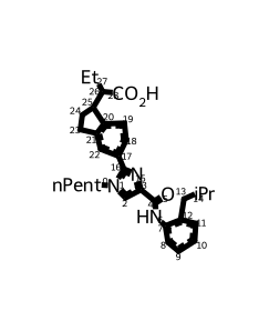 CCCCCn1cc(C(=O)Nc2ccccc2CC(C)C)nc1-c1ccc2c(c1)CCC2C(CC)C(=O)O